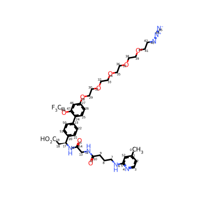 Cc1ccnc(NCCCC(=O)NCC(=O)N[C@@H](CC(=O)O)c2ccc(-c3ccc(OCCOCCOCCOCCOCCN=[N+]=[N-])cc3OC(F)(F)F)cc2)c1